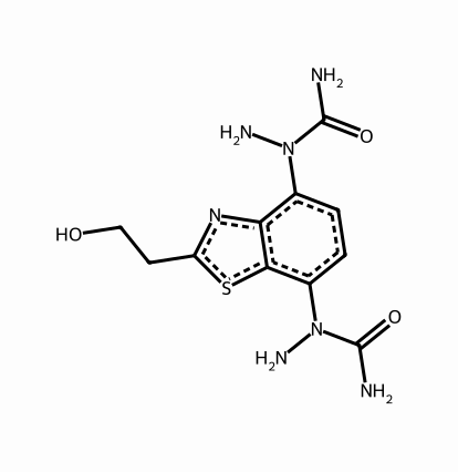 NC(=O)N(N)c1ccc(N(N)C(N)=O)c2sc(CCO)nc12